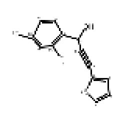 OC(C#Cc1cccs1)c1ccc(F)cc1F